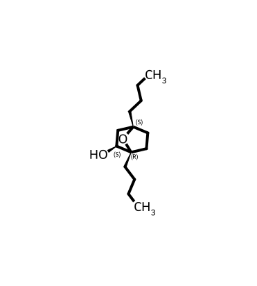 CCCC[C@@]12CC[C@@](CCCC)(O1)[C@@H](O)C2